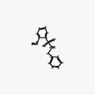 COc1cc[c]cc1S(=O)(=O)NCc1ccccc1